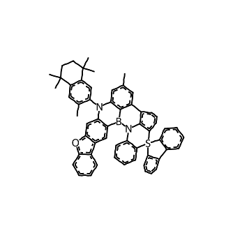 Cc1cc2c3c(c1)N(c1cc4c(cc1C)C(C)(C)CCC4(C)C)c1cc4oc5ccccc5c4cc1B3N1c3ccccc3S3(c4ccccc4-c4ccccc43)c3cccc-2c31